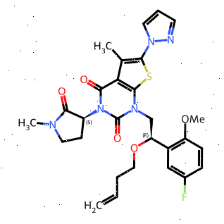 C=CCCO[C@@H](Cn1c(=O)n([C@H]2CCN(C)C2=O)c(=O)c2c(C)c(-n3cccn3)sc21)c1cc(F)ccc1OC